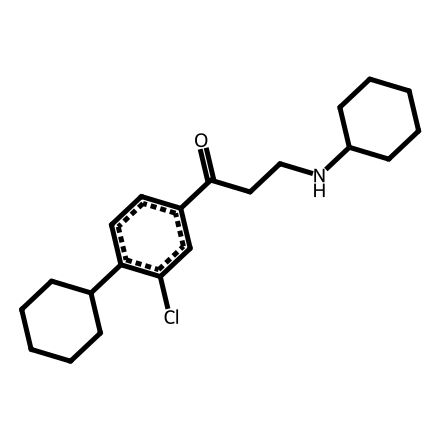 O=C(CCNC1CCCCC1)c1ccc(C2CCCCC2)c(Cl)c1